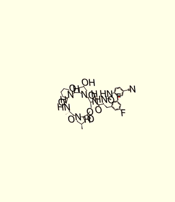 C[C@@H]1C[C@H]2C(=O)O[C@@H](C)[C@H](NC(=O)[C@H](Cc3cc(F)cc(F)c3)NC(=O)Nc3ccc(C#N)cc3)C(=O)N3C[C@H](O)C[C@H]3C(=O)N3CCCC[C@H]3C(=O)N[C@@H](C)C(=O)N2C1